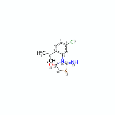 CC(C)c1ccc(Cl)cc1N1C(=N)SCC1=O